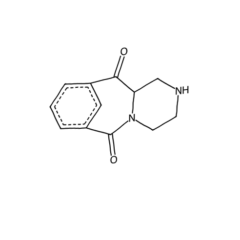 O=C1c2cccc(c2)C(=O)N2CCNCC12